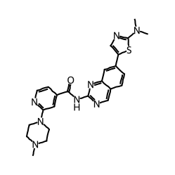 CN1CCN(c2cc(C(=O)Nc3ncc4ccc(-c5cnc(N(C)C)s5)cc4n3)ccn2)CC1